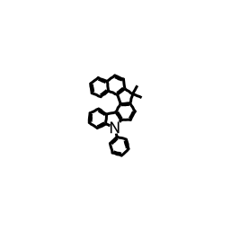 CC1(C)c2ccc3ccccc3c2-c2c1ccc1c2c2ccccc2n1-c1ccccc1